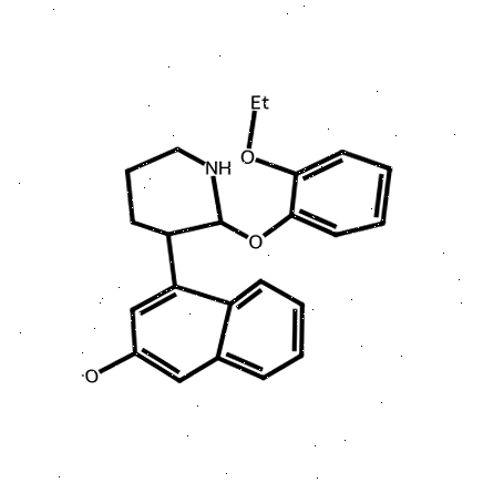 CCOc1ccccc1OC1NCCCC1c1cc([O])cc2ccccc12